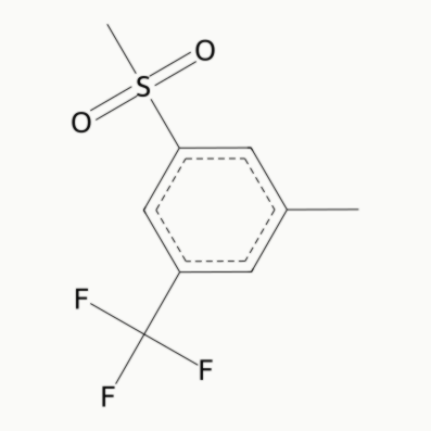 Cc1cc(C(F)(F)F)cc(S(C)(=O)=O)c1